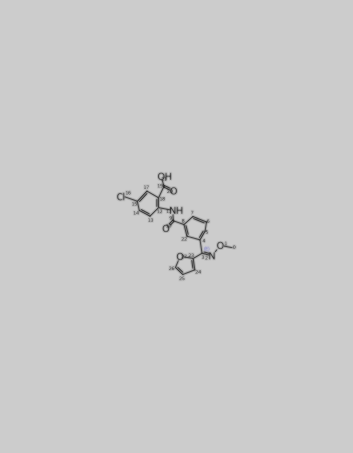 CO/N=C(\c1cccc(C(=O)Nc2ccc(Cl)cc2C(=O)O)c1)c1ccco1